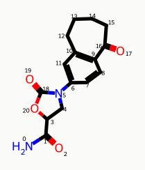 NC(=O)C1CN(c2ccc3c(c2)CCCCC3=O)C(=O)O1